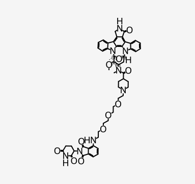 CO[C@@H]1[C@H](N(C)C(=O)C2CCN(CCOCCOCCOCCNc3cccc4c3C(=O)N(C3CCC(=O)NC3=O)C4=O)CC2)C[C@H]2O[C@]1(C)n1c3ccccc3c3c4c(c5c6ccccc6n2c5c31)C(=O)NC4